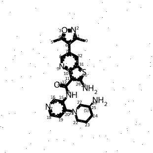 Cc1noc(C)c1-c1cnc2c(C(=O)Nc3cnccc3N3CCC[C@H](N)C3)c(N)sc2c1